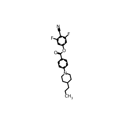 CCCC1CCN(c2ccc(C(=O)Oc3cc(F)c(C#N)c(F)c3)cc2)CC1